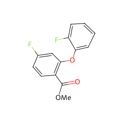 COC(=O)c1ccc(F)cc1Oc1ccccc1F